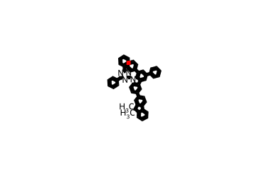 CC1(C)c2ccccc2-c2ccc(-c3ccc4c(c3)c3cc(-c5ccccc5)cc(-c5ccccc5)c3n4-c3nc(-c4ccccc4)nc(-c4ccccc4)n3)cc21